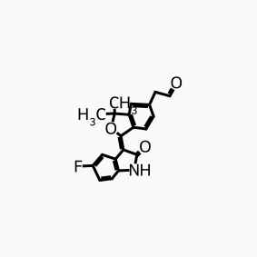 CC1(C)O/C(=C2/C(=O)Nc3ccc(F)cc32)c2ccc(CC=O)cc21